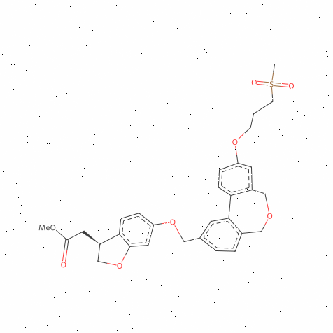 COC(=O)C[C@@H]1COc2cc(OCc3ccc4c(c3)-c3ccc(OCCCS(C)(=O)=O)cc3COC4)ccc21